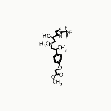 COC(=O)COc1ccc(C(C)CN(C)CC(O)c2csc(C(F)(F)F)n2)cc1